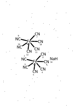 N#[C][Fe]([C]#N)([C]#N)([C]#N)([C]#N)[C]#N.N#[C][Fe]([C]#N)([C]#N)([C]#N)([C]#N)[C]#N.[NaH]